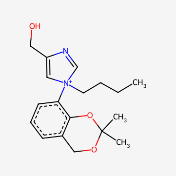 CCCC[N+]1(c2cccc3c2OC(C)(C)OC3)C=NC(CO)=C1